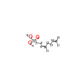 COC(OC)C(=O)CCC=C(C)CCC=C(C)C